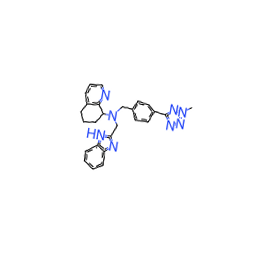 Cn1nnc(-c2ccc(CN(Cc3nc4ccccc4[nH]3)C3CCCc4cccnc43)cc2)n1